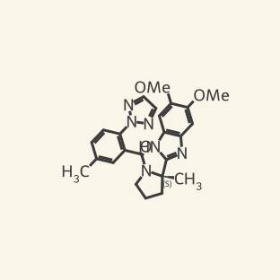 COc1cc2nc([C@]3(C)CCCN3C(=O)c3cc(C)ccc3-n3nccn3)[nH]c2cc1OC